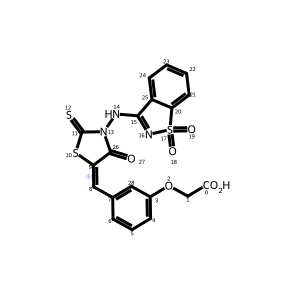 O=C(O)COc1cccc(/C=C2/SC(=S)N(NC3=NS(=O)(=O)c4ccccc43)C2=O)c1